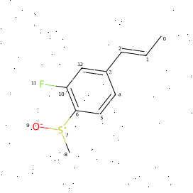 CC=Cc1ccc([S+](C)[O-])c(F)c1